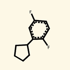 Fc1ccc(F)c(C2CCCC2)c1